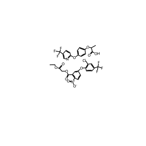 CC(Oc1ccc(Oc2ccc(C(F)(F)F)cn2)cc1)C(=O)O.CCOC(=O)COC(=O)c1cc(Oc2ccc(C(F)(F)F)cc2Cl)ccc1[N+](=O)[O-]